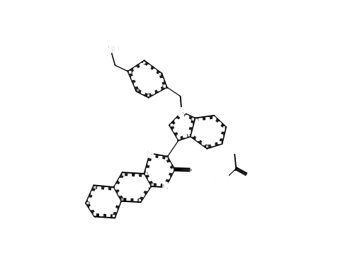 CC(=O)O.NCc1ccc(Cn2cc(-c3nc4cc5ccccc5cc4[nH]c3=O)c3ccccc32)cc1